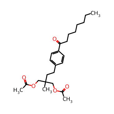 CCCCCCCC(=O)c1ccc(CCC(C)(COC(C)=O)COC(C)=O)cc1